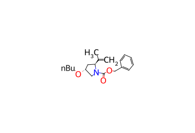 C=C(C)[C@@H]1C[C@@H](OCCCC)CN1C(=O)OCc1ccccc1